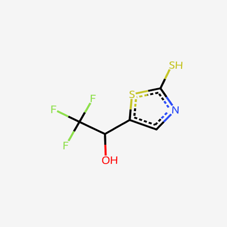 OC(c1cnc(S)s1)C(F)(F)F